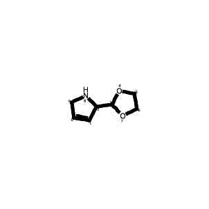 C1=CC([C]2OCCO2)NC1